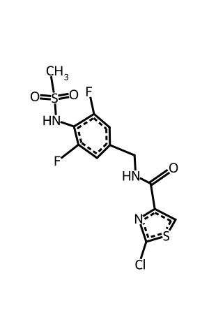 CS(=O)(=O)Nc1c(F)cc(CNC(=O)c2csc(Cl)n2)cc1F